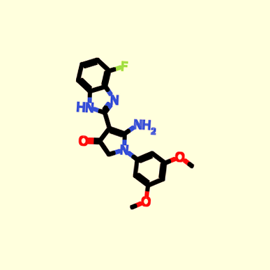 COc1cc(OC)cc(N2CC(=O)C(c3nc4c(F)cccc4[nH]3)=C2N)c1